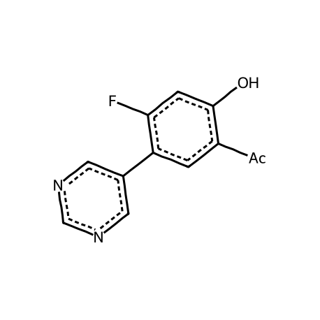 CC(=O)c1cc(-c2cncnc2)c(F)cc1O